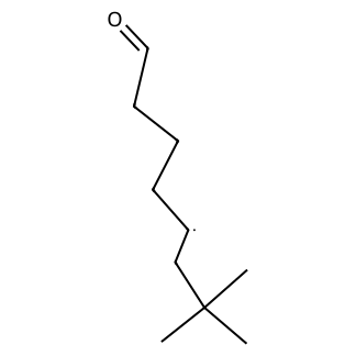 CC(C)(C)C[CH]CCCC=O